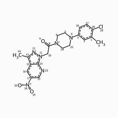 Cc1cc(N2CCN(C(=O)Cn3nc(C)c4cc([N+](=O)[O-])cnc43)CC2)ccc1Cl